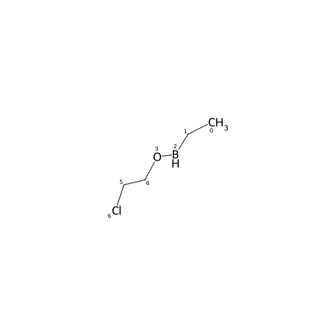 CCBOCCCl